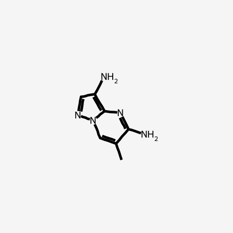 Cc1cn2ncc(N)c2nc1N